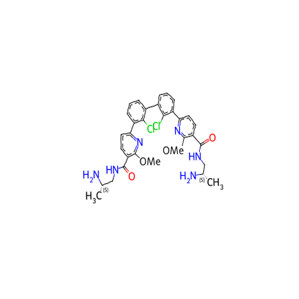 COc1nc(-c2cccc(-c3cccc(-c4ccc(C(=O)NC[C@H](C)N)c(OC)n4)c3Cl)c2Cl)ccc1C(=O)NC[C@H](C)N